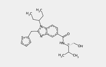 CCC(CC)n1c(Cc2cccs2)nc2cc(C(=O)N[C@H](CO)C(C)C)ccc21